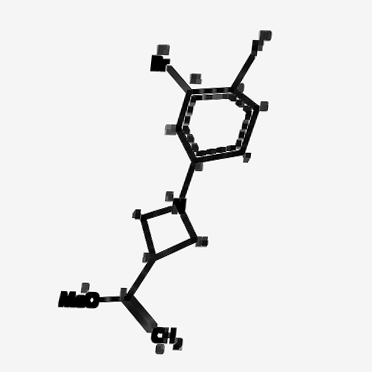 C=C(OC)C1CN(c2ccc(F)c(Br)c2)C1